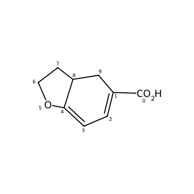 O=C(O)C1=CC=C2OCCC2C1